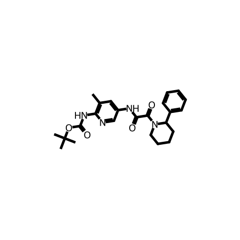 Cc1cc(NC(=O)C(=O)N2CCCCC2c2ccccc2)cnc1NC(=O)OC(C)(C)C